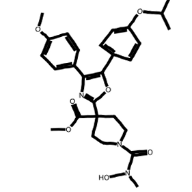 COC(=O)C1(c2nc(-c3ccc(OC)cc3)c(-c3ccc(OC(C)C)cc3)o2)CCN(C(=O)N(C)O)CC1